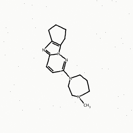 CN1CCCN(c2ccc3nc4c(n3n2)CCCC4)CC1